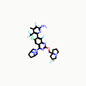 Cc1c(F)c(N)nc(-c2c(Cl)cc3c(N4CC5CCC(C4)N5)nc(OCC45CCCN4C[C@H](F)C5)nc3c2F)c1C(F)(F)F